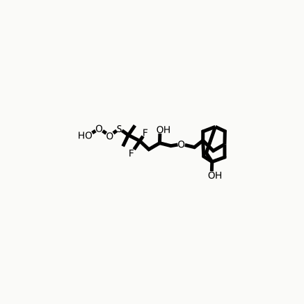 CC(C)(SOOO)C(F)(F)CC(O)COCC12CC3CC(CC(O)(C3)C1)C2